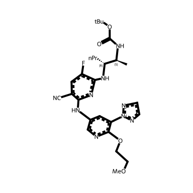 CCC[C@@H](Nc1nc(Nc2cnc(OCCOC)c(-n3nccn3)c2)c(C#N)cc1F)[C@H](C)NC(=O)OC(C)(C)C